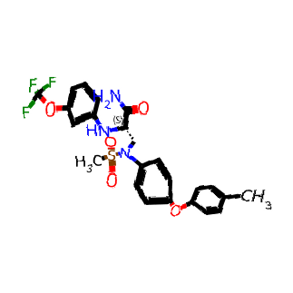 Cc1ccc(Oc2ccc(N(C[C@H](Nc3cccc(OC(F)(F)F)c3)C(N)=O)S(C)(=O)=O)cc2)cc1